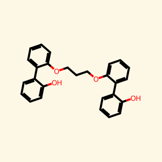 Oc1ccccc1-c1ccccc1OCCCOc1ccccc1-c1ccccc1O